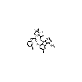 Cc1cc(F)c2c(c1)c1c(N)ncnc1n2CC(=O)N1[C@H](C(=O)Nc2cccc(Br)n2)C[C@@]2(C)C[C@@H]12